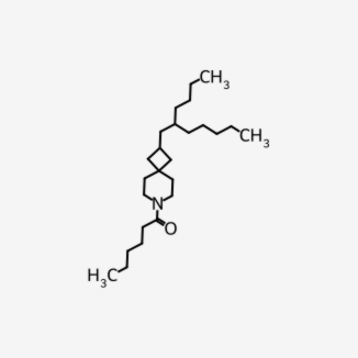 CCCCCC(=O)N1CCC2(CC1)CC(CC(CCCC)CCCCC)C2